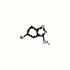 Cc1noc2ccc(Br)cc12